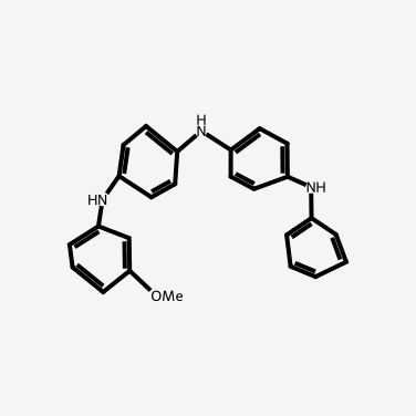 COc1cccc(Nc2ccc(Nc3ccc(Nc4ccccc4)cc3)cc2)c1